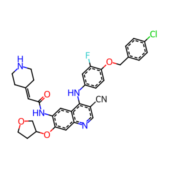 N#Cc1cnc2cc(OC3CCOC3)c(NC(=O)C=C3CCNCC3)cc2c1Nc1ccc(OCc2ccc(Cl)cc2)c(F)c1